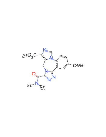 CCOC(=O)c1ncn2c1Cn1c(C(=O)N(CC)CC)nnc1-c1cc(OC)ccc1-2